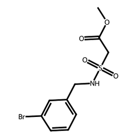 COC(=O)CS(=O)(=O)NCc1cccc(Br)c1